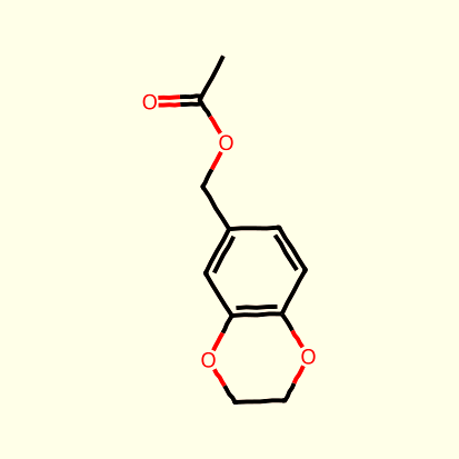 CC(=O)OCc1ccc2c(c1)OCCO2